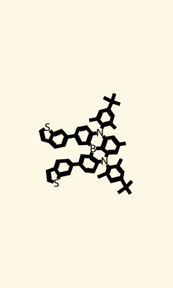 Cc1cc2c3c(c1)N(c1c(C)cc(C(C)(C)C)cc1C)c1ccc(-c4ccc5ccsc5c4)cc1B3c1cc(-c3ccc4ccsc4c3)ccc1N2c1c(C)cc(C(C)(C)C)cc1C